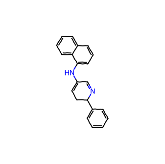 C1=NC(c2ccccc2)CC=C1Nc1cccc2ccccc12